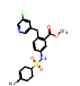 COC(=O)c1cc(NS(=O)(=O)C2CC=C(C)CC2)ccc1Cc1cncc(Cl)c1